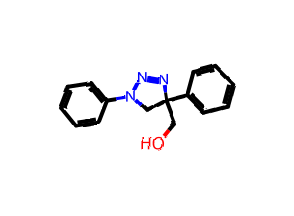 OCC1(c2ccccc2)CN(c2ccccc2)N=N1